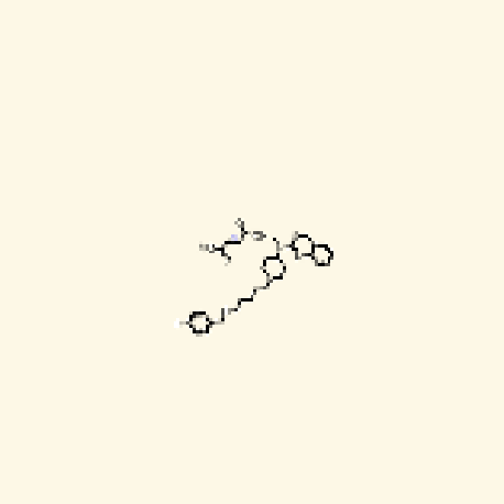 CN(C1=Nc2ccccc2CS1)C1CCN(CCCCCOCc2ccc(F)cc2)CC1.O=C(O)/C=C/C(=O)O